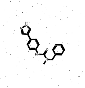 CN(Cc1ccccc1)C(=O)Nc1ccc(-c2cn[nH]c2)cc1